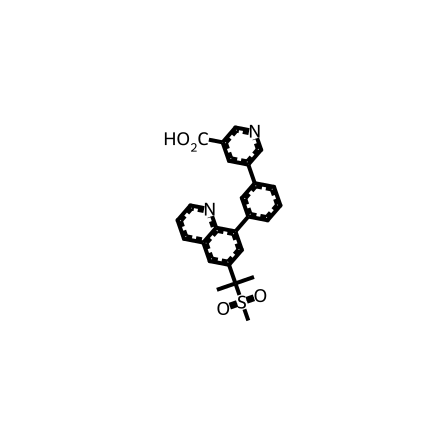 CC(C)(c1cc(-c2cccc(-c3cncc(C(=O)O)c3)c2)c2ncccc2c1)S(C)(=O)=O